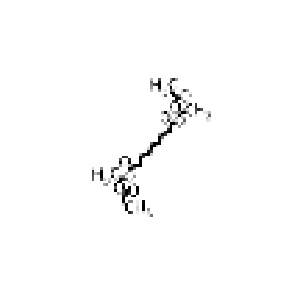 CCC(=O)OC(C)OC(=O)CCCCCCCC(=O)OC(C)OC(=O)CC